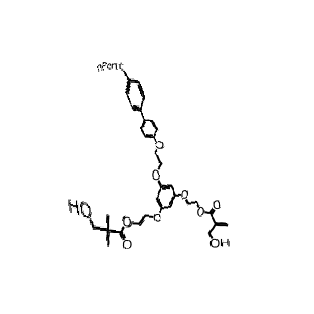 C=C(CO)C(=O)OCCOc1cc(OCCOC(=O)C(C)(C)CO)cc(OCCOc2ccc(-c3ccc(CCCCC)cc3)cc2)c1